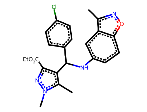 CCOC(=O)c1nn(C)c(C)c1C(Nc1ccc2onc(C)c2c1)c1ccc(Cl)cc1